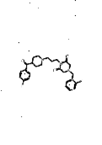 O=C(c1ccc(F)cc1)C1CCN(CCCN2C(=O)CN(Cc3ccccc3F)CC2=O)CC1